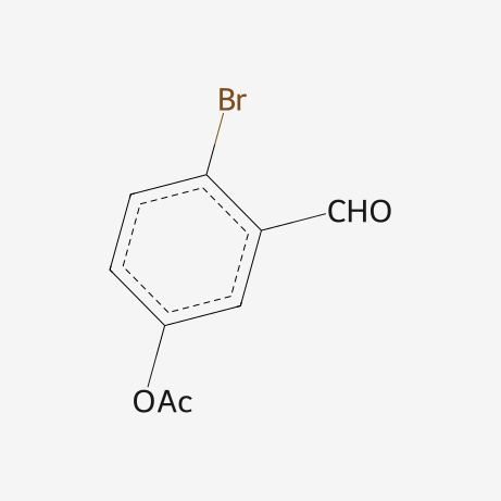 [CH2]C(=O)Oc1ccc(Br)c(C=O)c1